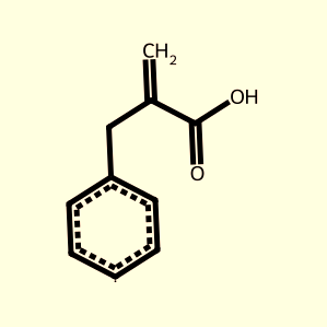 C=C(Cc1cc[c]cc1)C(=O)O